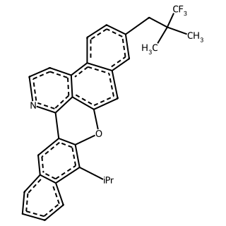 CC(C)c1c2c(cc3ccccc13)-c1nccc3c1c(cc1cc(CC(C)(C)C(F)(F)F)ccc13)O2